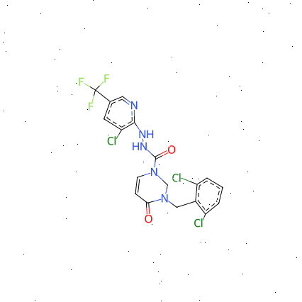 O=C(NNc1ncc(C(F)(F)F)cc1Cl)N1C=CC(=O)N(Cc2c(Cl)cccc2Cl)C1